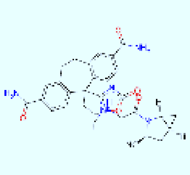 C[C@H](CC1(c2nc(=O)on2C)c2ccc(C(N)=O)cc2CCc2cc(C(N)=O)ccc21)NCC(=O)N1[C@H](C#N)C[C@@H]2C[C@@H]21